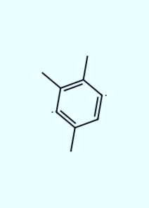 Cc1[c]c(C)c(C)[c]c1